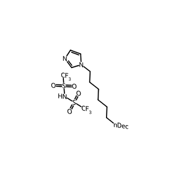 CCCCCCCCCCCCCCCCn1ccnc1.O=S(=O)(NS(=O)(=O)C(F)(F)F)C(F)(F)F